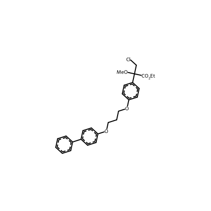 CCOC(=O)C(CCl)(OC)c1ccc(OCCCOc2ccc(-c3ccccc3)cc2)cc1